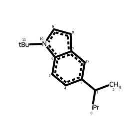 CC(C)C(C)c1ccc2c(ccn2C(C)(C)C)c1